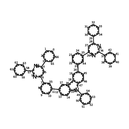 c1ccc(-c2cc(-c3cccc(-c4ccc5c(c4)c4cc(-c6cccc(-c7cc(-c8ccccc8)nc(-c8ccccc8)n7)c6)ccc4n5-c4ccccc4)c3)nc(-c3ccccc3)n2)cc1